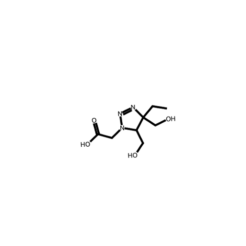 CCC1(CO)N=NN(CC(=O)O)C1CO